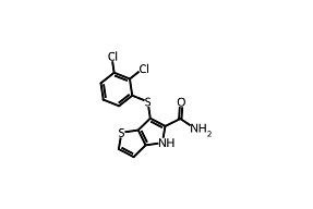 NC(=O)c1[nH]c2ccsc2c1Sc1cccc(Cl)c1Cl